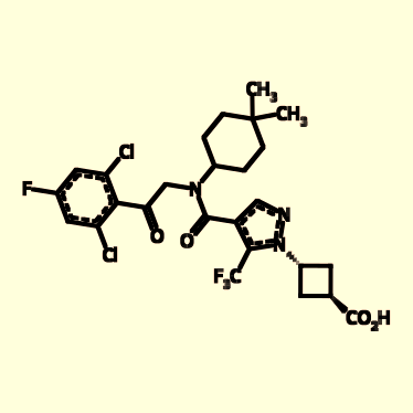 CC1(C)CCC(N(CC(=O)c2c(Cl)cc(F)cc2Cl)C(=O)c2cnn([C@H]3C[C@H](C(=O)O)C3)c2C(F)(F)F)CC1